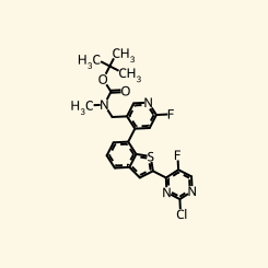 CN(Cc1cnc(F)cc1-c1cccc2cc(-c3nc(Cl)ncc3F)sc12)C(=O)OC(C)(C)C